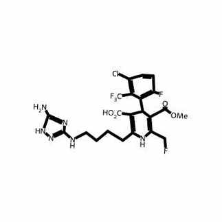 COC(=O)C1=C(CF)NC(CCCCNc2n[nH]c(N)n2)=C(C(=O)O)C1c1c(F)ccc(Cl)c1C(F)(F)F